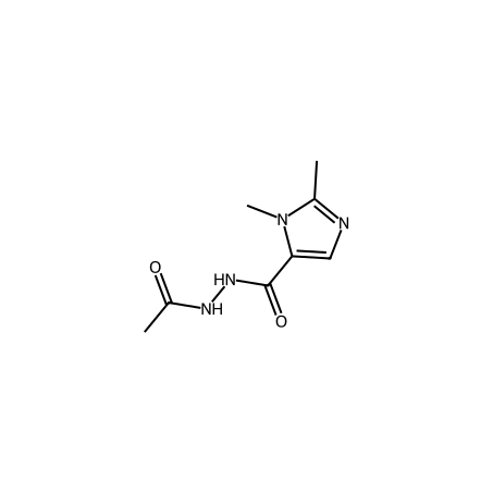 CC(=O)NNC(=O)c1cnc(C)n1C